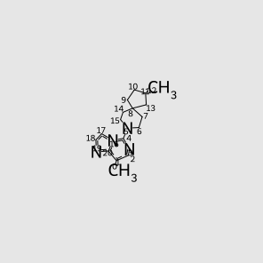 Cc1cnc(N2CCC3(CCC(C)C3)CC2)n2ccnc12